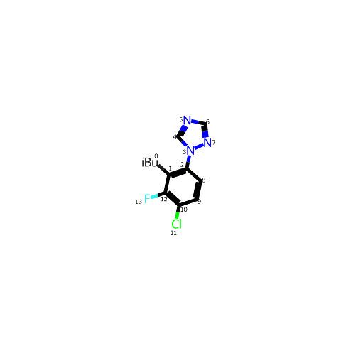 CCC(C)c1c(-n2cncn2)ccc(Cl)c1F